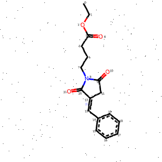 CCOC(=O)CCCN1C(=O)C/C(=C\c2ccccc2)C1=O